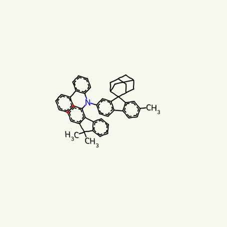 Cc1ccc2c(c1)C1(c3cc(N(c4ccccc4-c4ccccc4)c4cccc5c4-c4ccccc4C5(C)C)ccc3-2)C2CC3CC(C2)CC1C3